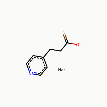 [Na+].[O-]C(=S)CCc1ccncc1